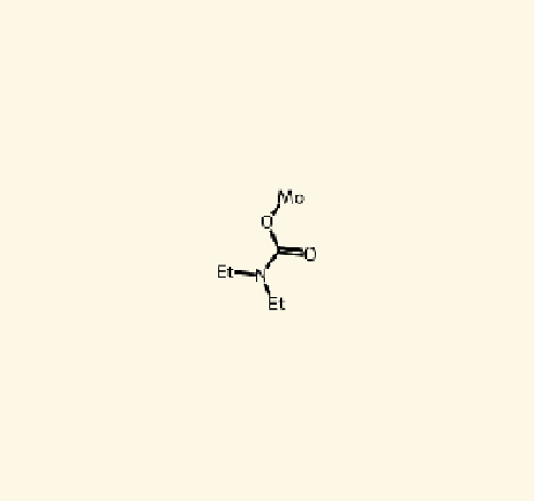 CCN(CC)C(=O)[O][Mo]